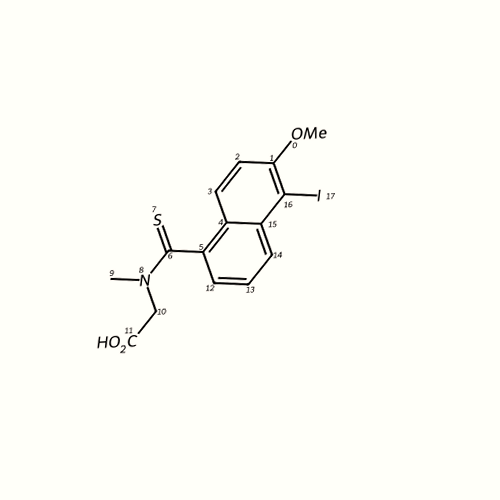 COc1ccc2c(C(=S)N(C)CC(=O)O)cccc2c1I